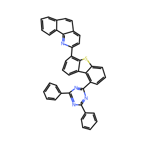 c1ccc(-c2nc(-c3ccccc3)nc(-c3cccc4sc5c(-c6ccc7ccc8ccccc8c7n6)cccc5c34)n2)cc1